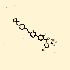 CC1(CN2CCC(COc3cnc(-c4ccc(C(=O)N5C[C@H](O)C[C@H]5C(N)=O)c(F)c4)cn3)CC2)CCC1